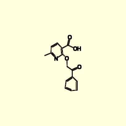 Cc1ccc(C(=O)O)c(OCC(=O)c2ccccc2)n1